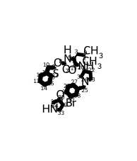 CC(C)C[C@H](NC(=O)Oc1cc2ccccc2s1)C(=O)N[C@H]1CCN(Cc2ccc(O[C@@H]3CCNC3)c(Br)c2)C1